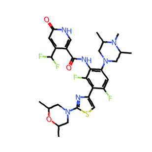 CC1CN(c2nc(-c3c(F)cc(N4CC(C)N(C)C(C)C4)c(NC(=O)c4c[nH]c(=O)cc4C(F)F)c3F)cs2)CC(C)O1